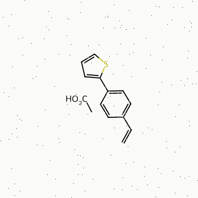 C=Cc1ccc(-c2cccs2)cc1.CC(=O)O